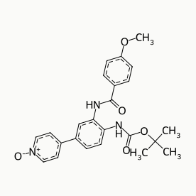 COc1ccc(C(=O)Nc2cc(-c3cc[n+]([O-])cc3)ccc2NC(=O)OC(C)(C)C)cc1